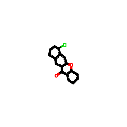 O=c1c2ccccc2oc2cc3c(Cl)cccc3cc12